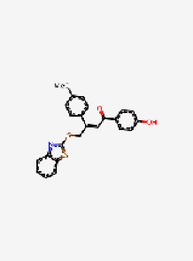 COc1ccc(/C(=C\C(=O)c2ccc(O)cc2)CSc2nc3ccccc3s2)cc1